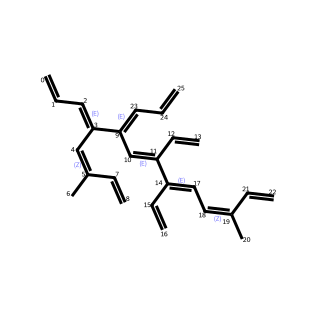 C=C/C=C(\C=C(\C)C=C)C(/C=C(C=C)/C(C=C)=C/C=C(/C)C=C)=C/C=C